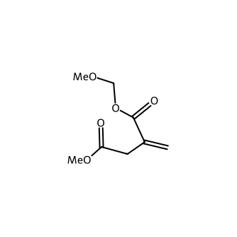 C=C(CC(=O)OC)C(=O)OCOC